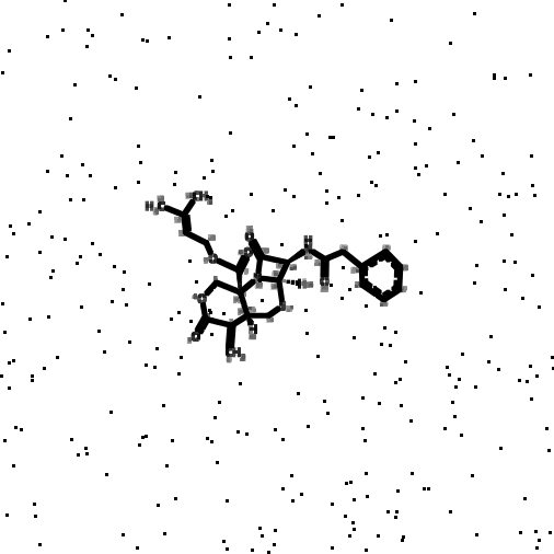 C=C1C(=O)OC[C@@]2(C(=O)OCC=C(C)C)[C@@H]1CS[C@@H]1[C@H](NC(=O)Cc3ccccc3)C(=O)N12